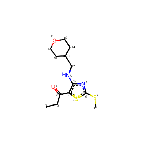 CCC(=O)c1sc(SC)nc1NCC1CCOCC1